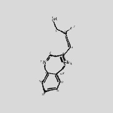 OC/C(F)=C\c1cnc2ccccc2n1